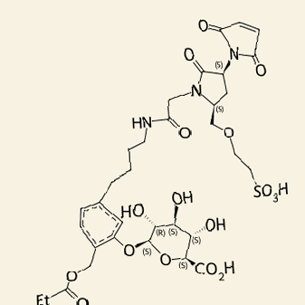 CCC(=O)OCc1ccc(CCCCNC(=O)CN2C(=O)[C@@H](N3C(=O)C=CC3=O)C[C@H]2COCCS(=O)(=O)O)cc1O[C@@H]1O[C@H](C(=O)O)[C@@H](O)[C@H](O)[C@H]1O